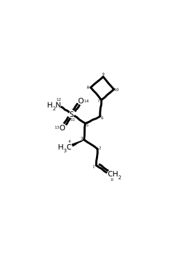 C=CC[C@@H](C)C(CC1CCC1)S(N)(=O)=O